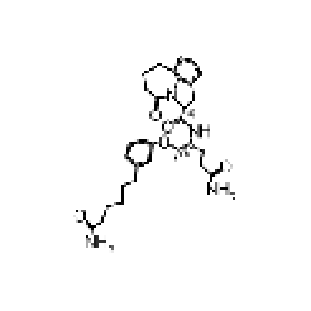 C[C@@H](Oc1cccc(CCCCCC(N)=O)c1)[C@H](CCC(N)=O)NC(=O)[C@@H]1Cc2cccc3c2N1C(=O)CCC3